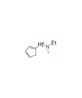 CC[N](C)[Hf][C]1=CC=CC1